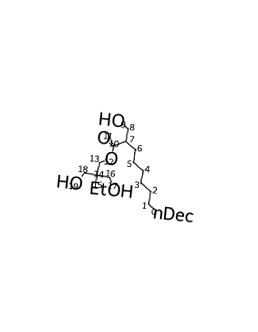 CCCCCCCCCCCCCCCCC(CO)C(=O)OCC(CC)(CO)CO